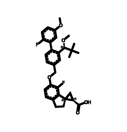 COc1ccc(F)c(-c2ccc(COc3ccc4c(c3F)[C@]3(CC4)C[C@H]3C(=O)O)cc2[C@H](OC)C(C)(C)C)c1